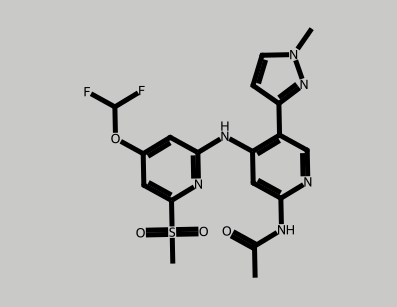 CC(=O)Nc1cc(Nc2cc(OC(F)F)cc(S(C)(=O)=O)n2)c(-c2ccn(C)n2)cn1